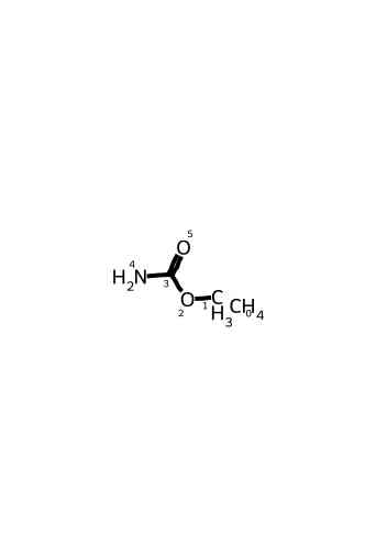 C.COC(N)=O